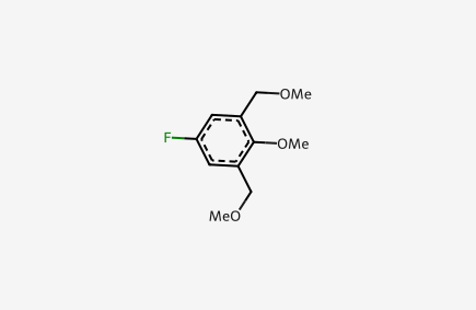 COCc1cc(F)cc(COC)c1OC